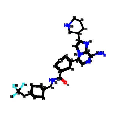 Nc1ncc(-c2cccc(C(=O)NCc3ccc(CC(F)(F)F)cc3)c2)n2cc(C3CCCNC3)nc12